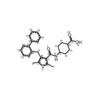 Cc1sc(C)c(C(=O)NC2CCC(C(=O)O)CC2)c1Cc1ccccc1-c1ccccc1